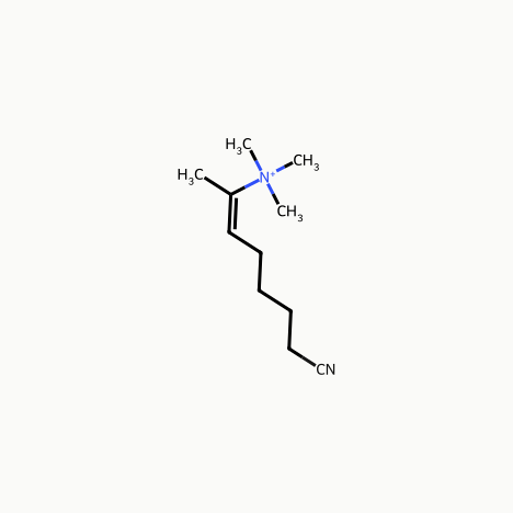 CC(=CCCCCC#N)[N+](C)(C)C